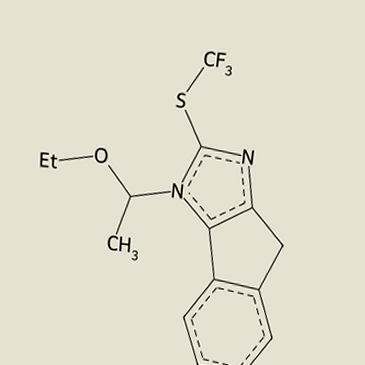 CCOC(C)n1c(SC(F)(F)F)nc2c1-c1ccccc1C2